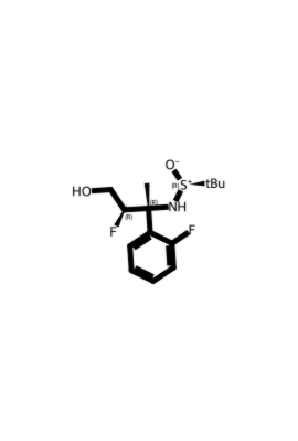 CC(C)(C)[S@+]([O-])N[C@](C)(c1ccccc1F)[C@@H](F)CO